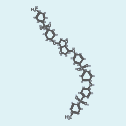 Cc1ccc(S(=O)(=O)c2ccc(Oc3ccc(S(=O)(=O)c4ccc(OC5COC6C(Oc7ccc(S(=O)(=O)c8ccc(C)cc8)cc7)COC56)cc4)cc3)cc2)cc1